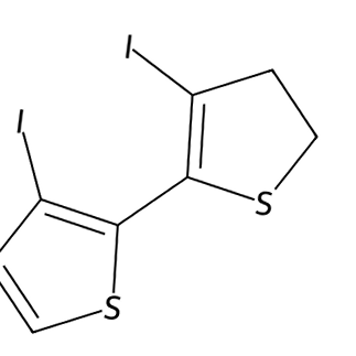 IC1=C(c2sccc2I)SCC1